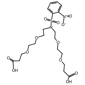 O=C(O)CCOCCOCCN(CCOCCOCCC(=O)O)S(=O)(=O)c1ccccc1[N+](=O)[O-]